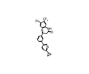 CCc1cc2c(cc1C(F)(F)F)NC(=O)CC(c1cccc(-c3ccc(C4CC4)nc3)c1)=N2